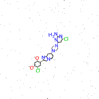 COc1cc(OC)c(-c2cn3ccc(N4CCN(c5cc(Cl)nc(N)n5)CC4)cc3n2)cc1Cl